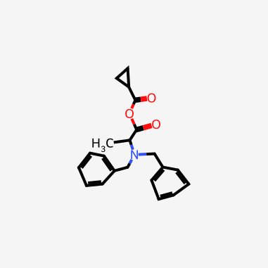 CC(C(=O)OC(=O)C1CC1)N(Cc1ccccc1)Cc1ccccc1